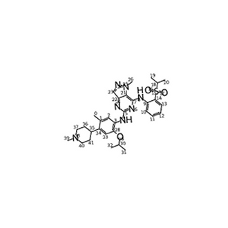 Cc1cc(Nc2nc(Nc3ccccc3S(=O)(=O)C(C)C)c3c(cnn3C)n2)c(OC(C)C)cc1C1CCN(C)CC1